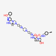 C#Cc1ccc(CNC(=O)[C@@H]2C[C@@H](O)CN2C(=O)[C@@H](NC(=O)N2CC3(CC(N4CCC(N5CC6(CC(N7CCN8c9cc(-c%10ccccc%10O)nnc9NC[C@H]8C7)C6)C5)CC4)C3)C2)C(C)(C)C)cc1